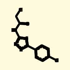 O=C(CCl)Nc1nnc(-c2ccc(Cl)cc2)s1